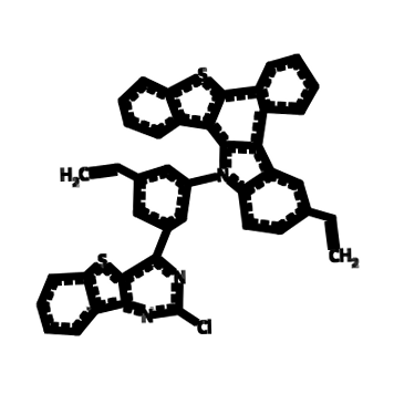 C=Cc1cc(-c2nc(Cl)nc3c2sc2ccccc23)cc(-n2c3ccc(C=C)cc3c3c4ccccc4c4sc5ccccc5c4c32)c1